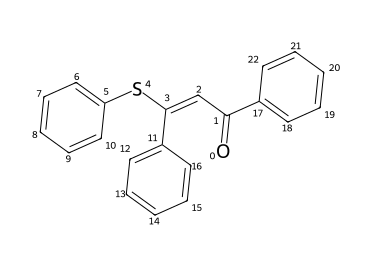 O=C(C=C(Sc1ccccc1)c1ccccc1)c1ccccc1